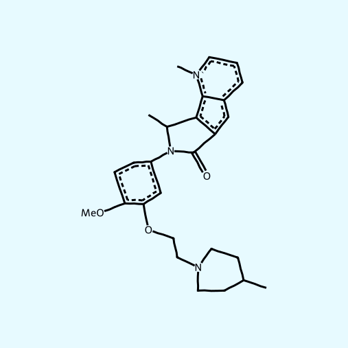 COc1ccc(N2C(=O)c3cc4cccn(C)c-4c3C2C)cc1OCCN1CCC(C)CC1